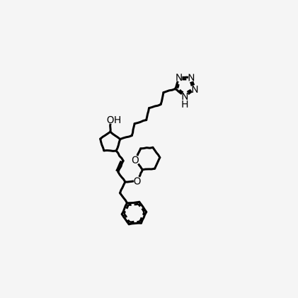 OC1CCC(C=CC(Cc2ccccc2)OC2CCCCO2)C1CCCCCCc1nnn[nH]1